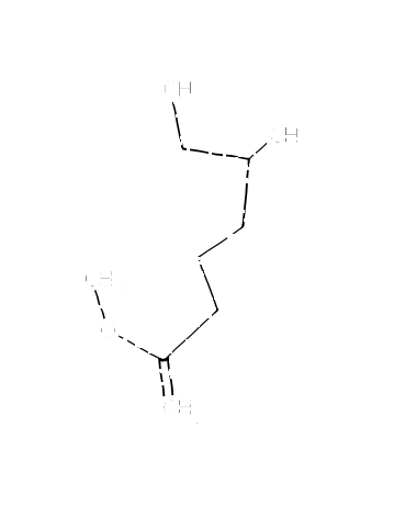 C=C(CCCC(C)CC)OC